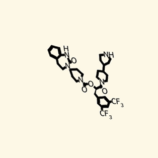 O=C(O[C@H](Cc1cc(C(F)(F)F)cc(C(F)(F)F)c1)C(=O)N1CCC(C2CCNCC2)CC1)N1CCC(N2CCc3ccccc3NC2=O)CC1